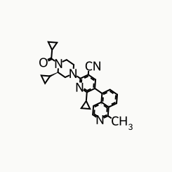 Cc1nccc2c(-c3cc(C#N)c(N4CCN(C(=O)C5CC5)[C@H](C5CC5)C4)nc3C3CC3)cccc12